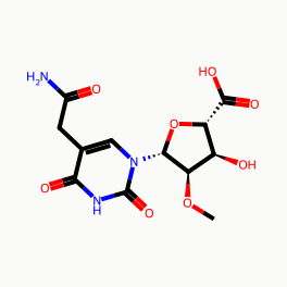 CO[C@@H]1[C@H](O)[C@@H](C(=O)O)O[C@H]1n1cc(CC(N)=O)c(=O)[nH]c1=O